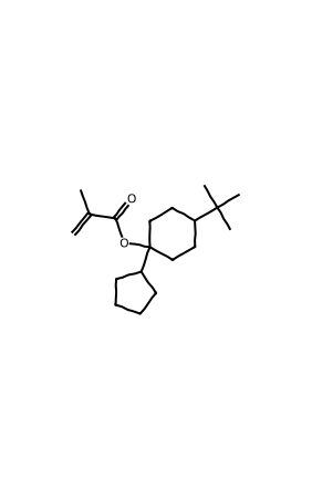 C=C(C)C(=O)OC1(C2CCCC2)CCC(C(C)(C)C)CC1